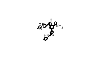 CCS(=O)(=O)N1CCC(c2c[nH]c3c(C(N)=O)cc(-c4csc(CNC5CCCC5)c4)cc23)CC1